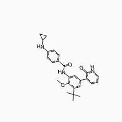 COc1c(NC(=O)c2ccc(NC3CC3)cc2)cc(-c2ccc[nH]c2=O)cc1C(C)(C)C